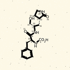 O=C(O)N[C@@H](Cc1ccccc1)C(=O)N[C@H](CO)C[C@@H]1CCNC1=O